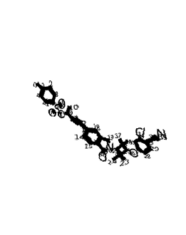 Cc1ccc(S(=O)(=O)OC(C)C#Cc2ccc3c(c2)CN([C@H]2C(C)(C)[C@H](Oc4ccc(C#N)c(Cl)c4)C2(C)C)C3=O)cc1